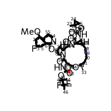 COc1cc(F)cc2c(O[C@@H]3C[C@H]4C(=O)N[C@]5(C(=O)NS(=O)(=O)C6(C)CC6)C[C@H]5/C=C\CC[C@@H](C)O[C@@H](C)[C@H](NC(=O)OC(C)(C)C(C)(F)F)C(=O)N4C3)nccc12